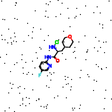 O=C(Nc1ccc(F)cn1)C(CC1CCOCC1)NCl